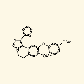 COc1cccc(Oc2cc3c(cc2OC)CCn2cnc(-c4cccs4)c2-3)c1